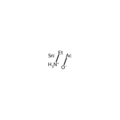 CC(=O)[O-].CC[NH3+].[Sn]